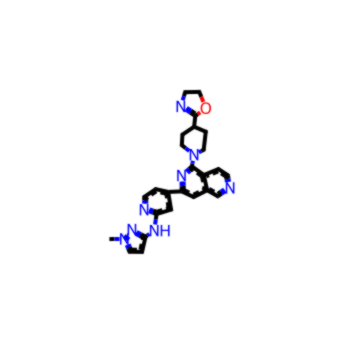 Cn1ccc(Nc2cc(-c3cc4cnccc4c(N4CCC(C5=NCCO5)CC4)n3)ccn2)n1